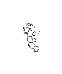 CCOC(=O)C(=Cc1ccc2ccccc2c1)c1csc(N)n1